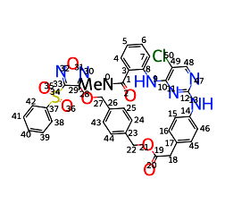 CNC(=O)c1ccccc1Nc1nc(Nc2ccc(CC(=O)OCc3ccc(COc4nonc4S(=O)(=O)c4ccccc4)cc3)cc2)ncc1Cl